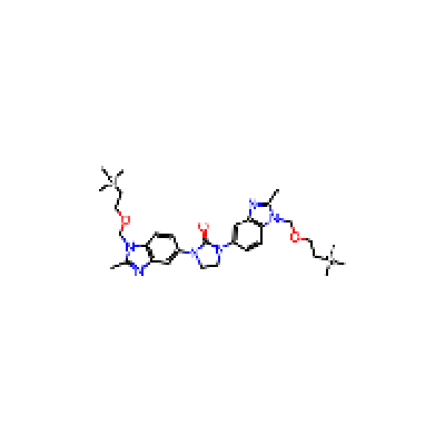 Cc1nc2cc(N3CCN(c4ccc5c(c4)nc(C)n5COCC[Si](C)(C)C)C3=O)ccc2n1COCC[Si](C)(C)C